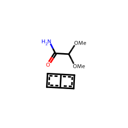 COC(OC)C(N)=O.c1cc2ccc1-2